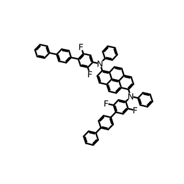 Fc1cc(N(c2ccccc2)c2ccc3ccc4c(N(c5ccccc5)c5cc(F)c(-c6ccc(-c7ccccc7)cc6)cc5F)ccc5ccc2c3c54)c(F)cc1-c1ccc(-c2ccccc2)cc1